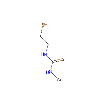 CC(=O)NC(=S)NCCS